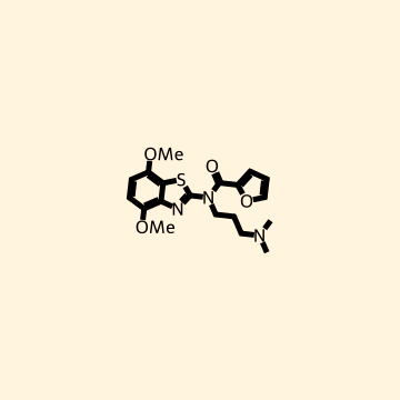 COc1ccc(OC)c2sc(N(CCCN(C)C)C(=O)c3ccco3)nc12